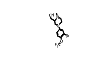 CN1CCN(c2ccc(OC(F)(F)F)c(Br)c2)CC1CC#N